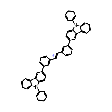 C(=C\c1cccc(-c2ccc3c(c2)c2ccccc2n3-c2ccccc2)c1)/c1cccc(-c2ccc3c(c2)c2ccccc2n3-c2ccccc2)c1